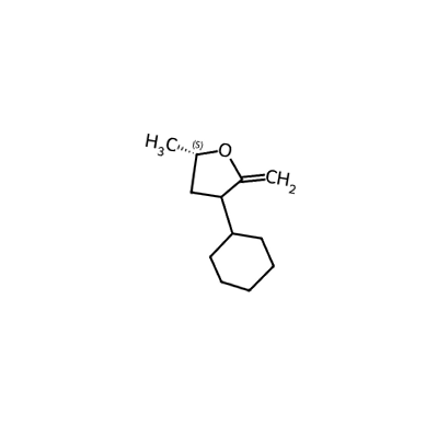 C=C1O[C@@H](C)CC1C1CCCCC1